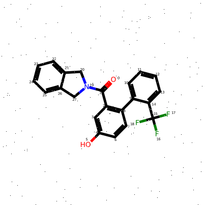 O=C(c1cc(O)ccc1-c1ccccc1C(F)(F)F)N1Cc2ccccc2C1